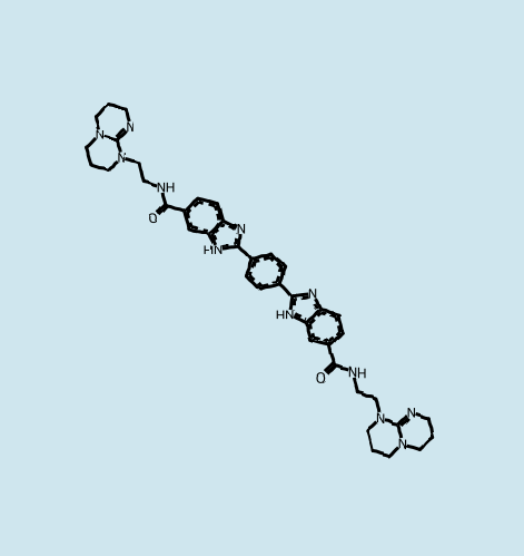 O=C(NCCN1CCCN2CCCN=C21)c1ccc2nc(-c3ccc(-c4nc5ccc(C(=O)NCCN6CCCN7CCCN=C76)cc5[nH]4)cc3)[nH]c2c1